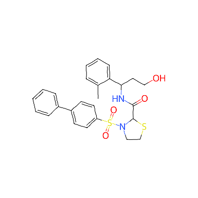 Cc1ccccc1C(CCO)NC(=O)C1SCCN1S(=O)(=O)c1ccc(-c2ccccc2)cc1